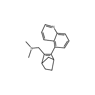 CN(C)CC1=C(c2cccc3ncccc23)C2CCC1C2